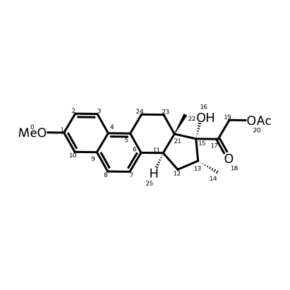 COc1ccc2c3c(ccc2c1)[C@@H]1C[C@@H](C)[C@](O)(C(=O)COC(C)=O)[C@@]1(C)CC3